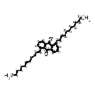 CCCCCCCCCCCCc1cccc2c1C(=O)c1cccc(CCCCCCCCCCCC)c1C2=S